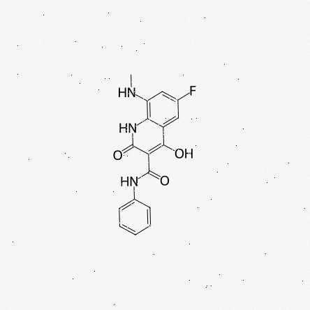 CNc1cc(F)cc2c(O)c(C(=O)Nc3ccccc3)c(=O)[nH]c12